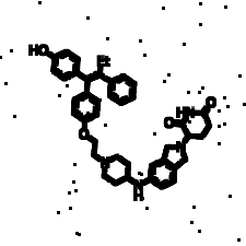 CCC(=C(c1ccc(O)cc1)c1ccc(OCCN2CCC(Nc3ccc4c(c3)CN(C3CCC(=O)NC3=O)C4)CC2)cc1)c1ccccc1